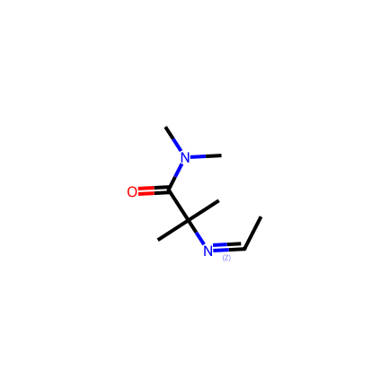 C/C=N\C(C)(C)C(=O)N(C)C